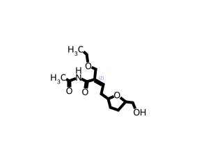 CCOC/C(=C/CC1CCC(CO)O1)C(=O)NC(C)=O